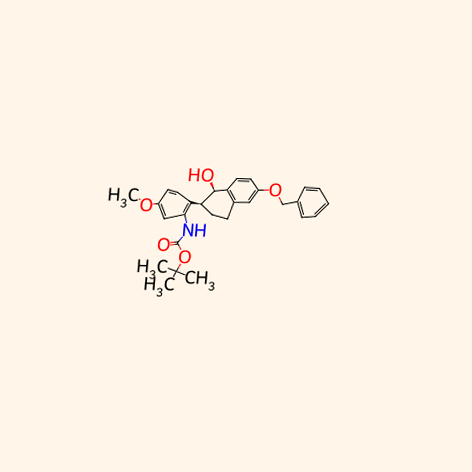 COc1ccc([C@@H]2CCc3cc(OCc4ccccc4)ccc3[C@@H]2O)c(NC(=O)OC(C)(C)C)c1